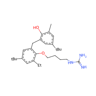 CCc1cc(C(C)(C)C)cc(Cc2cc(C(C)(C)C)cc(C)c2O)c1OCCCCNC(=N)N